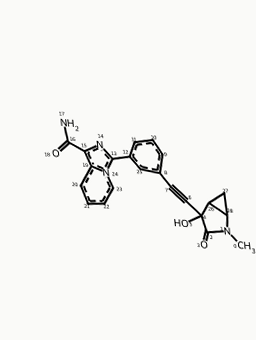 CN1C(=O)C(O)(C#Cc2cccc(-c3nc(C(N)=O)c4ccccn34)c2)C2CC21